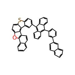 c1cc(-c2ccc3ccccc3c2)cc(-c2c3ccccc3c(-c3ccc4sc5ccc6oc7c8ccccc8ccc7c6c5c4c3)c3ccccc23)c1